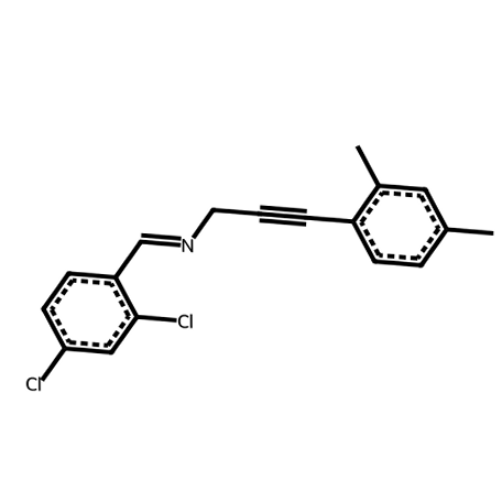 Cc1ccc(C#CC/N=C/c2ccc(Cl)cc2Cl)c(C)c1